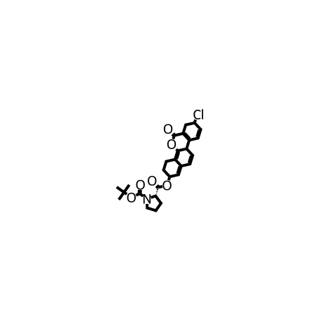 CC(C)(C)OC(=O)N1CCC[C@H]1C(=O)OC1C=C2C=CC3C4=C(CC(Cl)C=C4)C(=O)OC3=C2CC1